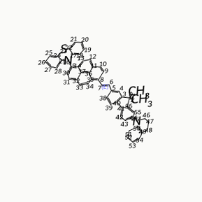 CC1(C)c2cc(/C=C/c3ccc4ccc5c(N6c7ccccc7Sc7ccccc76)ccc6ccc3c4c65)ccc2-c2ccc(N3CCCC4=C3CCC=C4)cc21